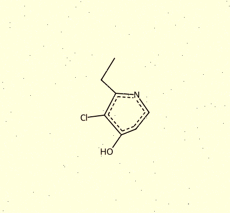 CCc1nccc(O)c1Cl